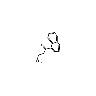 [CH2]CCC(=O)c1cccc2ccccc12